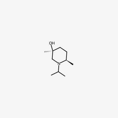 CC(C)N1C[C@@](C)(O)CC[C@H]1C